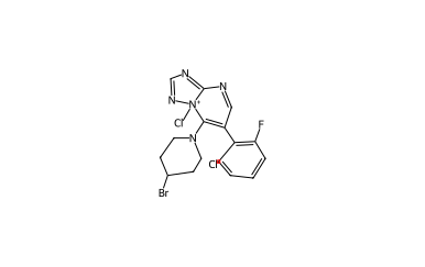 Fc1cccc(Cl)c1C1=C(N2CCC(Br)CC2)[N+]2(Cl)N=CN=C2N=C1